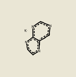 [K].c1cnc2ncncc2n1